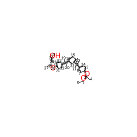 CCOC(C)Oc1ccc(C(C)(C)c2cccc(C(C)(C)c3ccc(OC(C)C#CO)cc3)c2)cc1